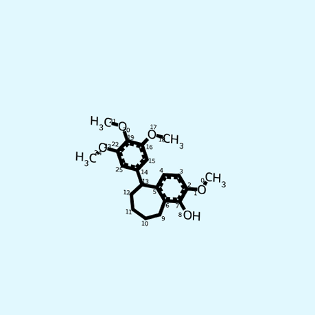 COc1ccc2c(c1O)CCCCC2c1cc(OC)c(OC)c(OC)c1